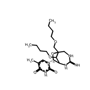 CCCCOCC12CNC(=N)NC(C1OCCCC)[C@H](n1cc(C)c(=O)[nH]c1=O)O2